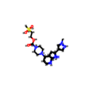 Cn1cc(-c2cc3c(N4CCN(C(=O)OCCS(C)(=O)=O)CC4)ccnc3[nH]2)cn1